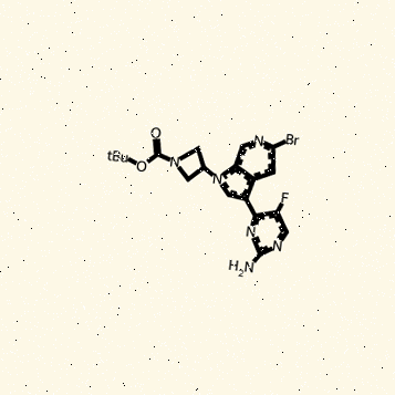 CC(C)(C)OC(=O)N1CC(n2cc(-c3nc(N)ncc3F)c3cc(Br)ncc32)C1